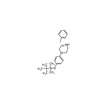 CC(C)(C)[Si](C)(C)Oc1ccc(N2CCN[C@@H](Cc3ccccc3)C2)cc1